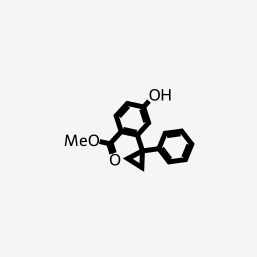 COC(=O)c1ccc(O)cc1C1(c2ccccc2)CC1